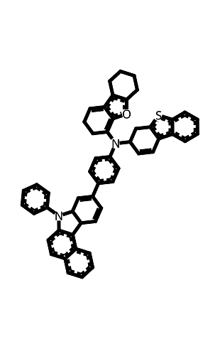 C1=CC2c3c(ccc4ccccc34)N(c3ccccc3)C2C=C1c1ccc(N(C2=c3oc4c(c3=CCC2)CCCC4)C2C=Cc3c(sc4ccccc34)C2)cc1